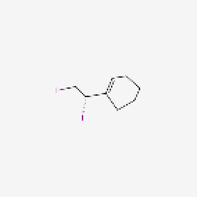 IC[C@@H](I)C1=CCCCC1